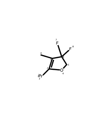 CC1=C(C(C)C)OCC1(F)F